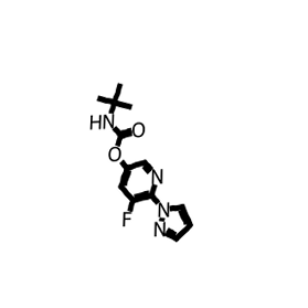 CC(C)(C)NC(=O)Oc1cnc(-n2cccn2)c(F)c1